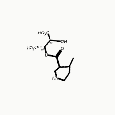 CC1CCNCC1C(=O)O[C@H](C(=O)O)[C@H](O)C(=O)O